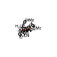 COc1ccc(CO[C@H](C)c2nc3c(F)c(-c4cccc(Cl)c4Cl)c(CCC#N)cc3c3c2cc([C@H]2C[C@H](Oc4cc(OC)ncc4F)[C@@H](CO)N2C(=O)C2CC2)n3[C@H]2[C@@H]3C[C@H]2N(C(=O)OC(C)(C)C)C3)cc1